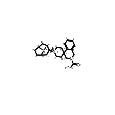 CCCC(=O)N1Cc2ccccc2C2(CCN(C3CCC4CCC(C3)N4C(=O)OCC)CC2)C1